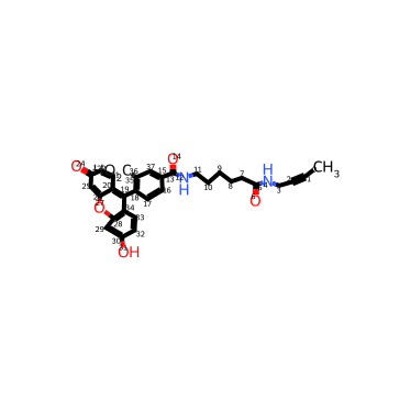 CC#CCNC(=O)CCCCCNC(=O)c1ccc(-c2c3ccc(=O)cc-3oc3cc(O)ccc23)c(C(=O)O)c1